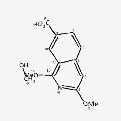 CO.COc1cc2ccc(C(=O)O)cc2c(OC)n1